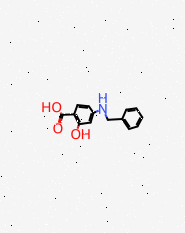 O=C(O)c1ccc(NCc2ccccc2)cc1O